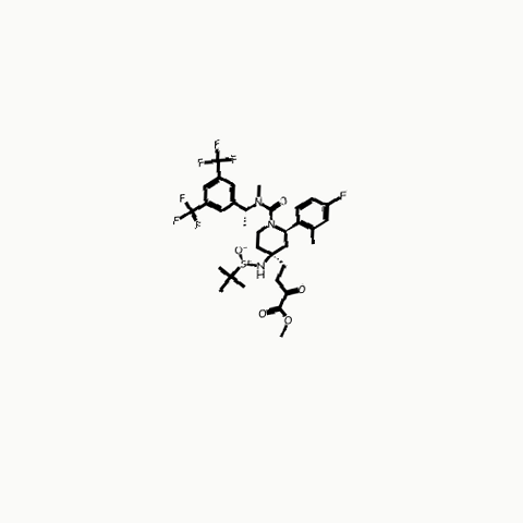 COC(=O)C(=O)CC[C@]1(N[S@+]([O-])C(C)(C)C)CCN(C(=O)N(C)[C@H](C)c2cc(C(F)(F)F)cc(C(F)(F)F)c2)[C@@H](c2ccc(F)cc2C)C1